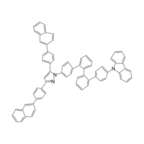 c1ccc(-c2ccccc2-c2ccc(-n3c4ccccc4c4ccccc43)cc2)c(-c2ccc(-n3nc(-c4ccc(-c5ccc6ccccc6c5)cc4)cc3-c3ccc(-c4ccc5ccccc5c4)cc3)cc2)c1